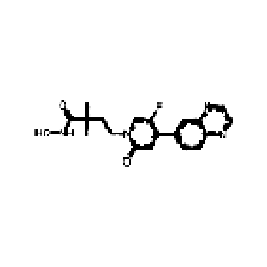 CC(C)(CCn1cc(F)c(-c2ccc3nccnc3c2)cc1=O)C(=O)NO